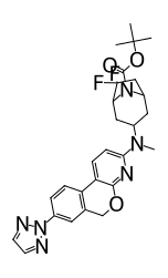 CN(c1ccc2c(n1)OCc1cc(-n3nccn3)ccc1-2)C1CC2CC(F)(F)C(C1)N2C(=O)OC(C)(C)C